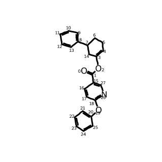 O=C(OC1=CCCC(c2ccccc2)C1)c1ccc(Oc2ccccc2)nc1